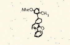 COc1ccc(C)c(C2=Cc3cnn(-c4ccccn4)c(=O)c3CC2)c1